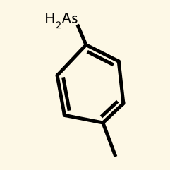 Cc1ccc([AsH2])cc1